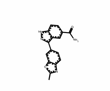 Cc1nc2ccc(-c3n[nH]c4ccc(C(N)=O)cc34)cc2o1